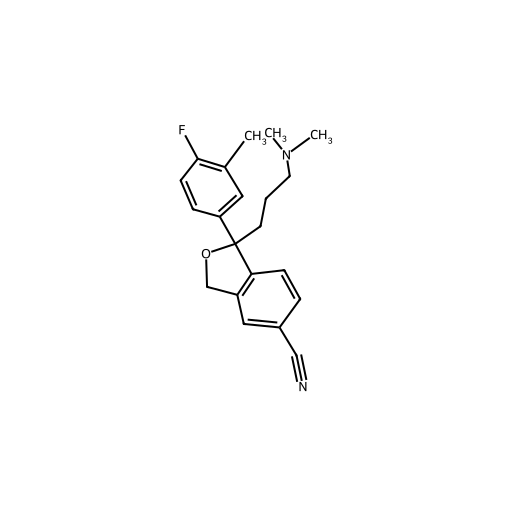 Cc1cc(C2(CCCN(C)C)OCc3cc(C#N)ccc32)ccc1F